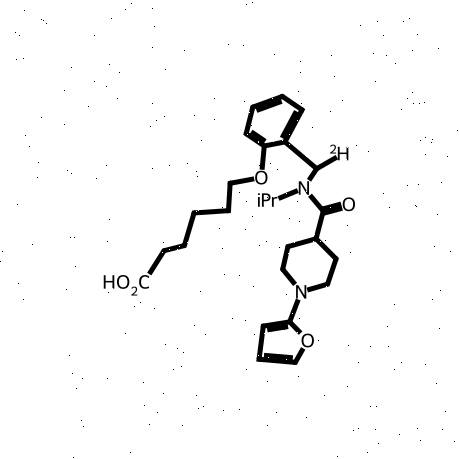 [2H]C(c1ccccc1OCCCCCC(=O)O)N(C(=O)C1CCN(c2ccco2)CC1)C(C)C